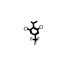 CC(C)c1c(Cl)cc(C(F)(F)F)cc1Cl